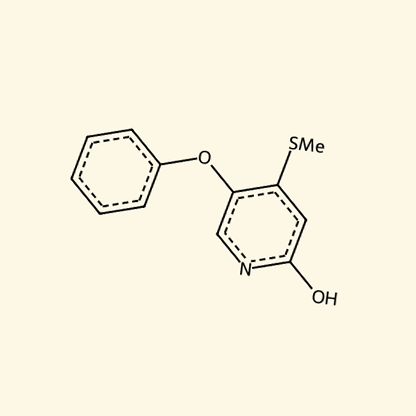 CSc1cc(O)ncc1Oc1ccccc1